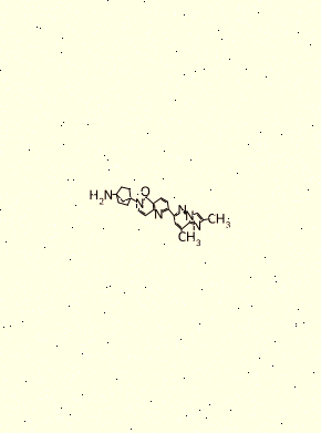 Cc1cn2nc(-c3ccc4c(=O)n(C56CCC(N)(CC5)C6)ccc4n3)cc(C)c2n1